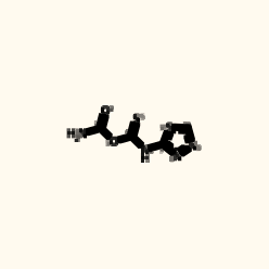 NC(=O)OC(=S)Nc1nncs1